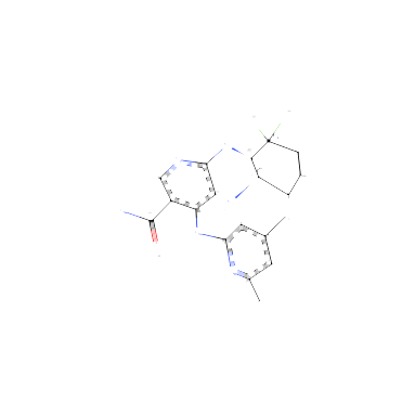 Cc1cc(C)nc(Nc2cc(N[C@@H]3[C@H](N)CCCC3(F)F)ncc2C(N)=O)c1